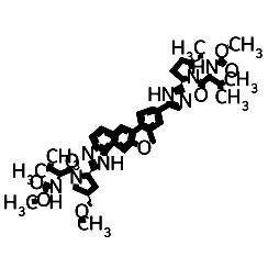 CC[C@H]1CC[C@@H](c2ncc(-c3ccc4c(c3)COc3cc5c(ccc6nc([C@@H]7C[C@H](COC)CN7C(=O)[C@@H](NC(=O)OC)C(C)C)[nH]c65)cc3-4)[nH]2)N1C(=O)[C@@H](NC(=O)OC)C(C)C